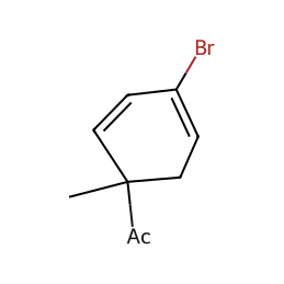 CC(=O)C1(C)C=CC(Br)=CC1